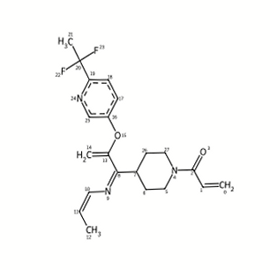 C=CC(=O)N1CCC(/C(=N/C=C\C)C(=C)Oc2ccc(C(C)(F)F)nc2)CC1